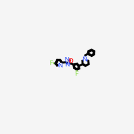 Fc1ccc(-c2noc(-c3cc(F)cc(C4=CCCN(Cc5ccccc5)C4)c3)n2)nc1